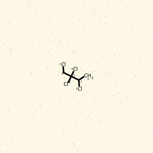 CC(Cl)C(Cl)(Cl)CCl